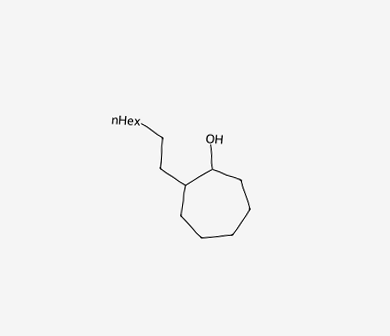 CCCCCCCCC1CCCCCC1O